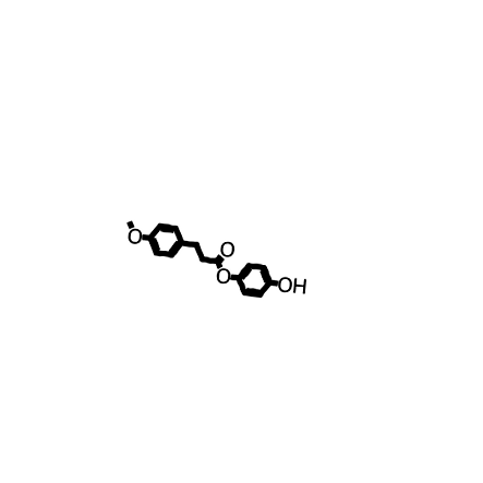 COc1ccc(CCC(=O)Oc2ccc(O)cc2)cc1